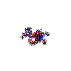 CC[C@H](C)[C@H](NC(=O)[C@H](CCC(=O)OC(C)(C)C)NC(=O)[C@H](CCC(=O)OC(C)(C)C)NC(=O)[C@H](Cc1ccccc1)NC(=O)[C@H](CC(=O)OC(C)(C)C)NC(=O)CN)C(=O)N1CCC[C@H]1C(=O)N[C@@H](CCC(=O)OC(C)(C)C)C(=O)N[C@@H](CCC(=O)OC(C)(C)C)C(=O)N[C@@H](Cc1ccc(OC(C)(C)C)cc1)C(=O)N[C@@H](CC(C)C)C(=O)O